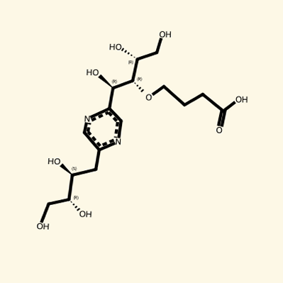 O=C(O)CCCO[C@@H]([C@H](O)CO)[C@H](O)c1cnc(C[C@H](O)[C@H](O)CO)cn1